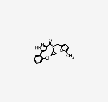 Cc1ccc(CN(C(=O)c2cc(-c3ccccc3Cl)[nH]n2)C2CC2)o1